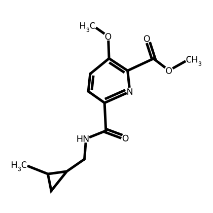 COC(=O)c1nc(C(=O)NCC2CC2C)ccc1OC